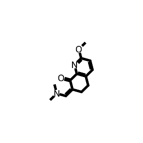 COc1ccc2c(n1)C(=O)C(=CN(C)C)CC2